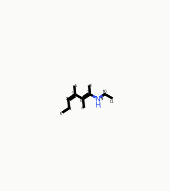 CC/C=C(C)\C(C)=C(/C)NCC